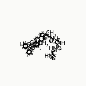 C[C@H](CCC(=O)N[C@@H]1CN[C@H](C(=O)NCCc2cnc[nH]2)C1)[C@H]1CCC2C3CCC4C[C@H](O[Si](c5ccccc5)(c5ccccc5)C(C)(C)C)CC[C@]4(C)C3CC[C@@]21C